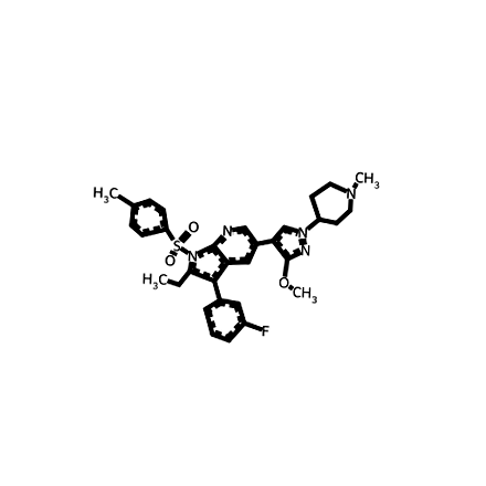 CCc1c(-c2cccc(F)c2)c2cc(-c3cn(C4CCN(C)CC4)nc3OC)cnc2n1S(=O)(=O)c1ccc(C)cc1